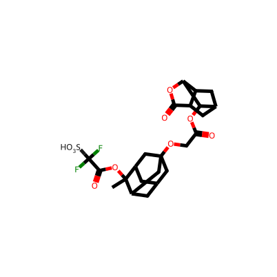 CC1(OC(=O)C(F)(F)S(=O)(=O)O)C2CC3CC1CC(OCC(=O)OC1C4CC5C(=O)OC1C5C4)(C3)C2